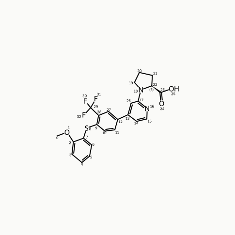 COc1ccccc1Sc1ccc(-c2ccnc(N3CCC[C@H]3C(=O)O)c2)cc1C(F)(F)F